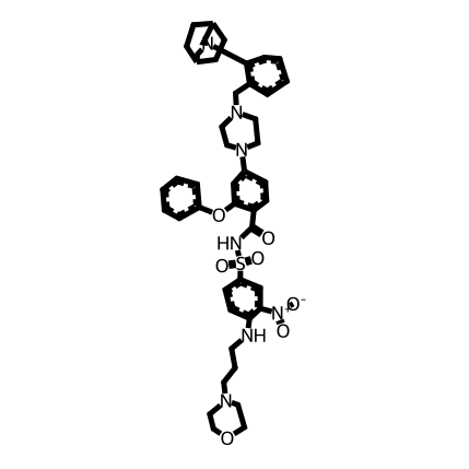 O=C(NS(=O)(=O)c1ccc(NCCCN2CCOCC2)c([N+](=O)[O-])c1)c1ccc(N2CCN(Cc3ccccc3N3CC4CCC(CC4)C3)CC2)cc1Oc1ccccc1